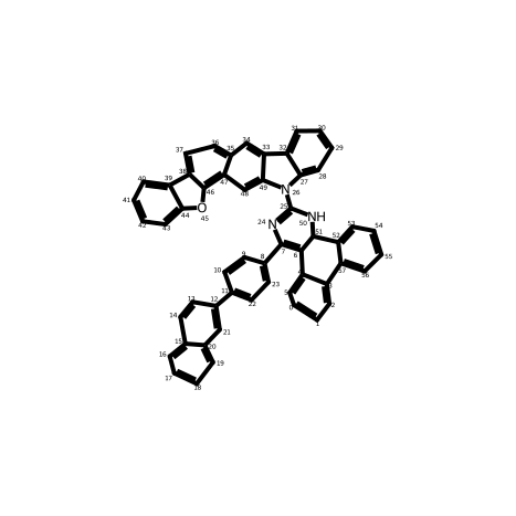 c1ccc2c(c1)C1=C(c3ccc(-c4ccc5ccccc5c4)cc3)N=C(n3c4ccccc4c4cc5ccc6c7ccccc7oc6c5cc43)NC1c1ccccc1-2